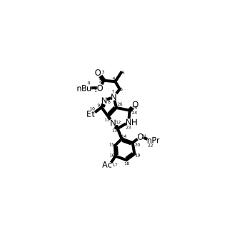 CCCCOC(=O)C(C)Cn1nc(CC)c2nc(-c3cc(C(C)=O)ccc3OCCC)[nH]c(=O)c21